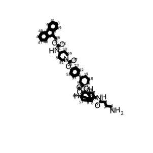 NCCCC(=O)NC12CC3C[C@H](C1)[C@]1(OO[C@@]4(CCC[C@@H](c5ccc(OC(=O)N6CCC(NC(=O)OCC7c8ccccc8-c8ccccc87)CC6)cc5)C4)O1)[C@@H](C3)C2